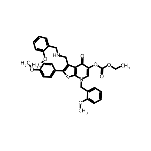 CCOC(=O)Oc1cn(Cc2ccccc2OC)c2sc(-c3ccc(OC)cc3)c(CNCc3ccccc3OC)c2c1=O